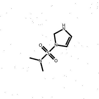 CN(C)S(=O)(=O)N1[C]=CNC1